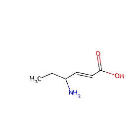 CCC(N)C=CC(=O)O